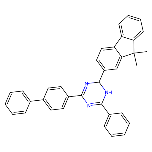 CC1(C)c2ccccc2-c2ccc(C3N=C(c4ccc(-c5ccccc5)cc4)N=C(c4ccccc4)N3)cc21